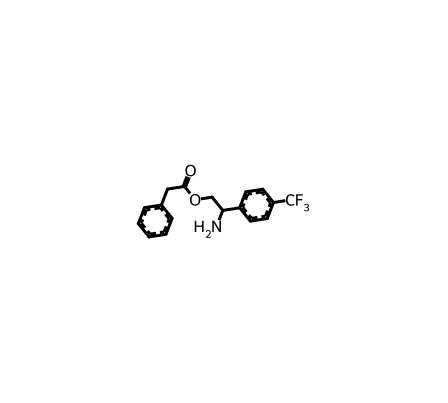 NC(COC(=O)Cc1ccccc1)c1ccc(C(F)(F)F)cc1